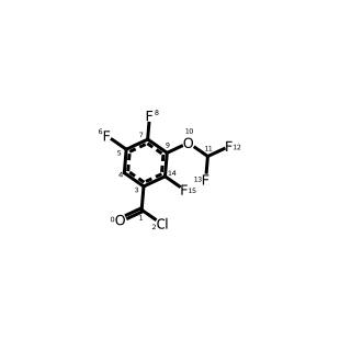 O=C(Cl)c1cc(F)c(F)c(OC(F)F)c1F